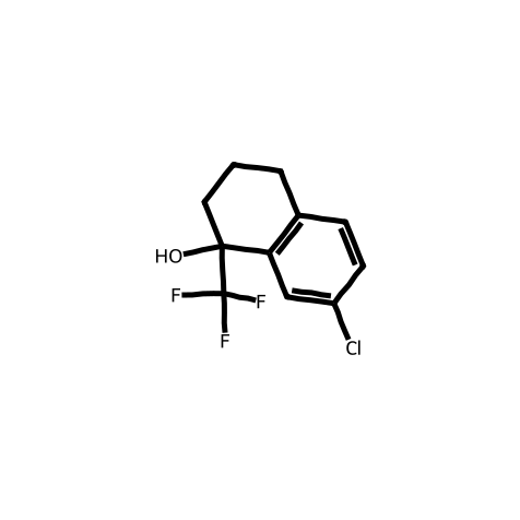 OC1(C(F)(F)F)CCCc2ccc(Cl)cc21